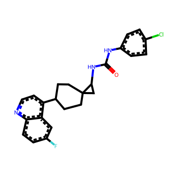 O=C(Nc1ccc(Cl)cc1)NC1CC12CCC(c1ccnc3ccc(F)cc13)CC2